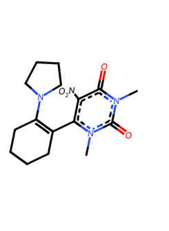 Cn1c(C2=C(N3CCCC3)CCCC2)c([N+](=O)[O-])c(=O)n(C)c1=O